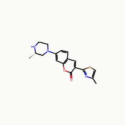 Cc1csc(-c2cc3ccc(N4CCN[C@@H](C)C4)cc3oc2=O)n1